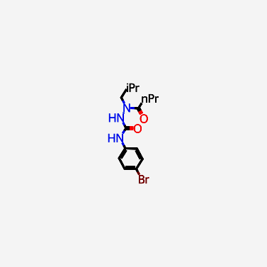 CCCC(=O)N(CC(C)C)NC(=O)Nc1ccc(Br)cc1